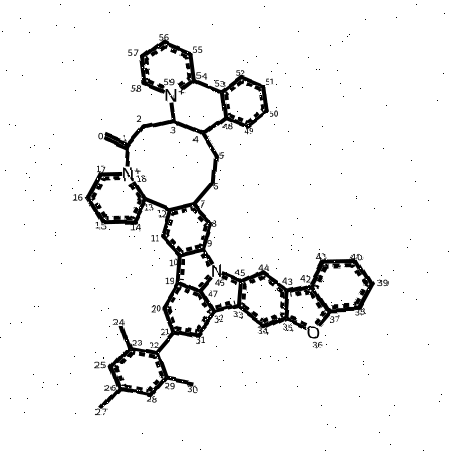 C=C1CC2C(CCc3cc4c(cc3-c3cccc[n+]31)c1cc(-c3c(C)cc(C)cc3C)cc3c5cc6oc7ccccc7c6cc5n4c13)c1ccccc1-c1cccc[n+]12